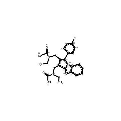 CCN(Cc1c(CN(CC)C(=O)O)c2sc3ccccc3n2c1-c1ccc(Cl)cc1)C(=O)O